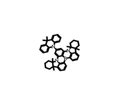 CC1(C)c2ccccc2N(c2cc3c4c(c2)N2c5c(cccc5C5(C)CCCCC25C)B4c2cccc4c2N3C2(C)CCCCC42C)c2ccccc21